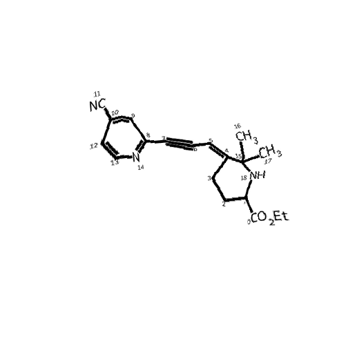 CCOC(=O)C1CC/C(=C\C#Cc2cc(C#N)ccn2)C(C)(C)N1